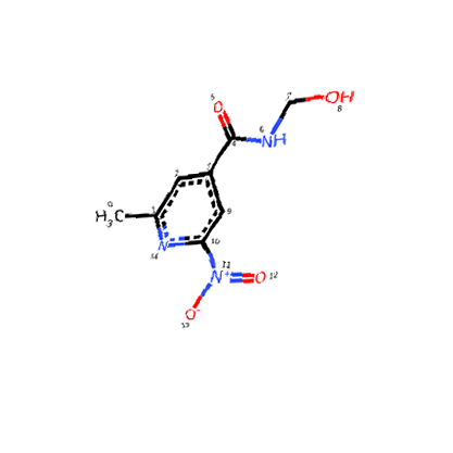 Cc1cc(C(=O)NCO)cc([N+](=O)[O-])n1